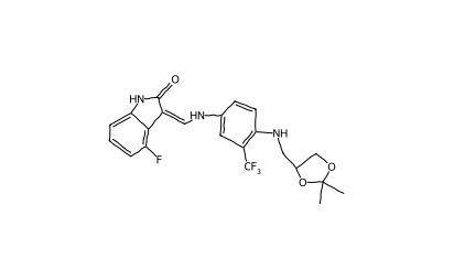 CC1(C)OCC(CNc2ccc(NC=C3C(=O)Nc4cccc(F)c43)cc2C(F)(F)F)O1